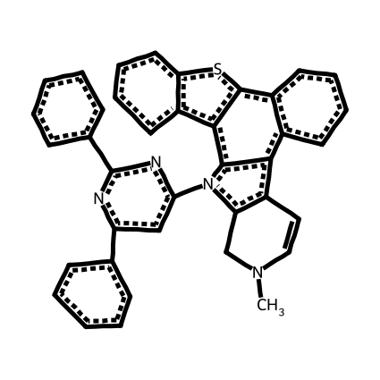 CN1C=Cc2c(n(-c3cc(-c4ccccc4)nc(-c4ccccc4)n3)c3c2c2ccccc2c2sc4ccccc4c23)C1